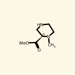 COC(=O)[C@H]1CNCCN1C